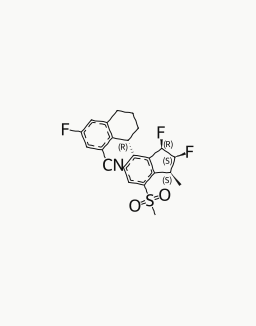 C[C@H]1c2c(S(C)(=O)=O)ccc([C@H]3CCCc4cc(F)cc(C#N)c43)c2[C@@H](F)[C@H]1F